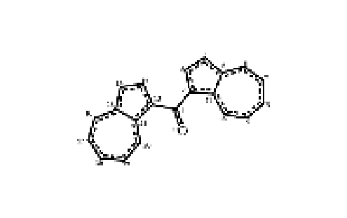 O=C(c1ccc2cccccc1-2)c1ccc2cccccc1-2